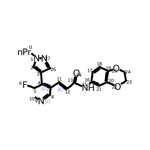 CCCn1cc(/C(CF)=C(/C=N\C)\C=C\C(=O)Nc2ccc3c(c2)OCCO3)cn1